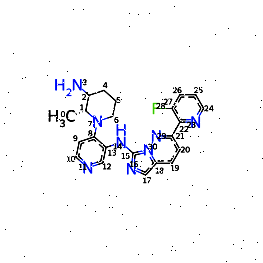 C[C@@H]1C(N)CCCN1c1ccncc1Nc1ncc2ccc(-c3ncccc3F)nn12